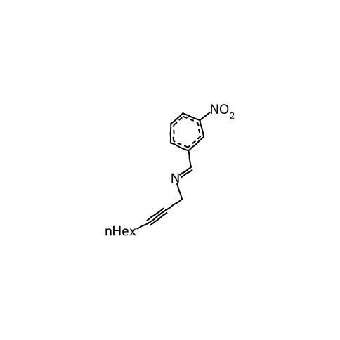 CCCCCCC#CCN=Cc1cccc([N+](=O)[O-])c1